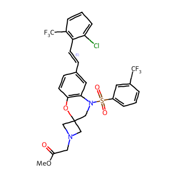 COC(=O)CN1CC2(C1)CN(S(=O)(=O)c1cccc(C(F)(F)F)c1)c1cc(/C=C/c3c(Cl)cccc3C(F)(F)F)ccc1O2